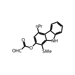 CCCc1cc(OC(=O)C=O)c(SC)c2[nH]c3ccccc3c12